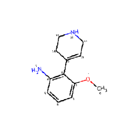 COc1cccc(N)c1C1=CCNCC1